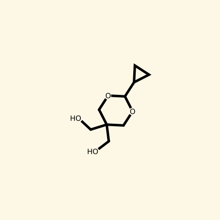 OCC1(CO)COC(C2CC2)OC1